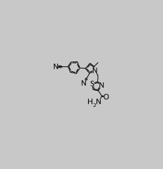 Cc1cc(-c2ccc(C#N)cc2)c(C#N)n1Cc1nc(C(N)=O)cs1